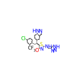 O=C1N=C(NCc2c[nH]nn2)SC1=C(Cc1ccc(Cl)cc1C(F)(F)F)c1ccc2[nH]ncc2c1